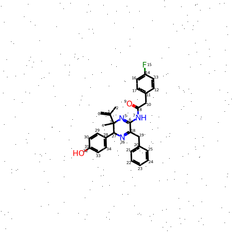 C=C(C)C1(C)N=C(NC(=O)Cc2ccc(F)cc2)C(Cc2ccccc2)=NC1c1ccc(O)cc1